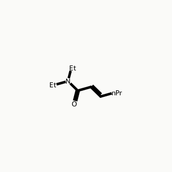 CCC/C=C/C(=O)N(CC)CC